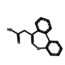 O=C(O)CC1=COc2ccccc2-c2ccccc21